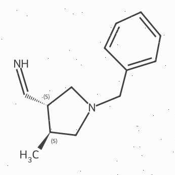 C[C@@H]1CN(Cc2ccccc2)C[C@H]1C=N